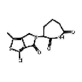 Cc1sc(Cl)c2c1CN(C1CCCC(=O)NC1=O)C2=O